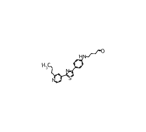 CCCc1cc(-c2nc(-c3ccc(NCCCC=O)cc3)cs2)ccn1